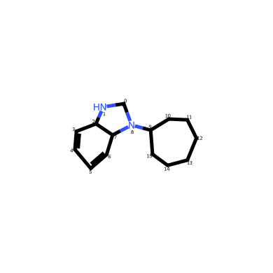 [C]1NC2C=CC=CC2N1C1CCCCCC1